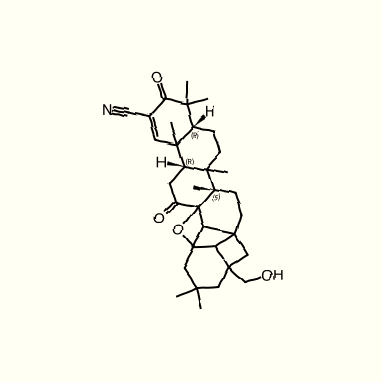 CC1(C)CC2(CO)CC34CC[C@]5(C)C6(OC(C1)(C23)C46)C(=O)C[C@@H]1C2(C)C=C(C#N)C(=O)C(C)(C)[C@@H]2CCC15C